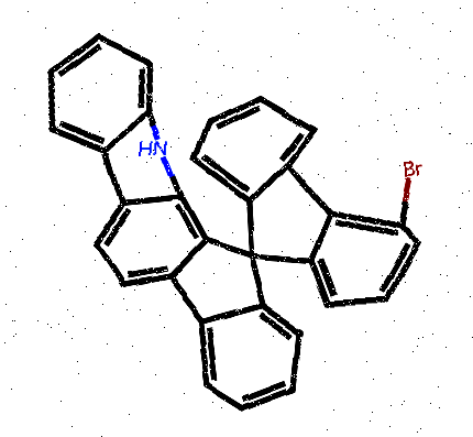 Brc1cccc2c1-c1ccccc1C21c2ccccc2-c2ccc3c([nH]c4ccccc43)c21